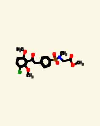 COC(=O)CN(C)S(=O)(=O)c1ccc(CC(=O)c2c(OC)ccc(Br)c2OC)cc1